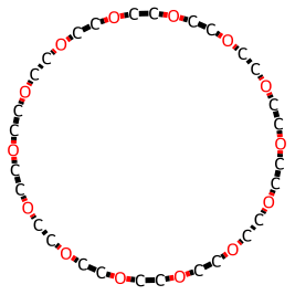 C1COCCOCCOCCOCCOCCOCCOCCOCCOCCOCCOCCOCCOCCO1